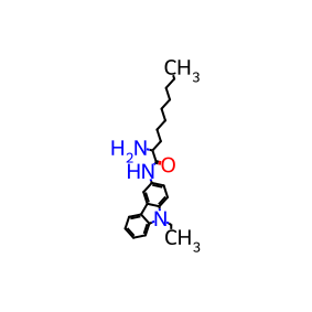 CCCCCCCCC(N)C(=O)Nc1ccc2c(c1)c1ccccc1n2CC